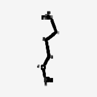 [CH2]CCCCCCOC(C)CC